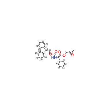 O=C(NC(C(=O)OCC1CO1)c1ccccc1)OCC1c2ccccc2-c2ccccc21